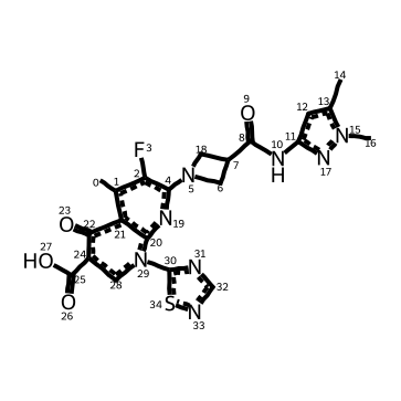 Cc1c(F)c(N2CC(C(=O)Nc3cc(C)n(C)n3)C2)nc2c1c(=O)c(C(=O)O)cn2-c1ncns1